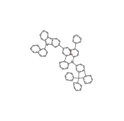 c1ccc(-c2ccc(N(c3ccc4c(c3)C(c3ccccc3)(c3ccccc3)c3ccccc3-4)c3ccccc3-c3cccc(-c4ccc5c6ccccc6n(-c6cccc7ccccc67)c5c4)c3)cc2)cc1